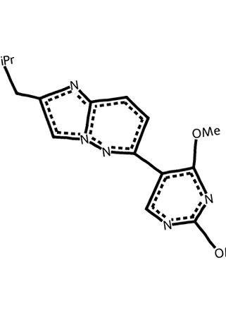 COc1ncc(-c2ccc3nc(CC(C)C)cn3n2)c(OC)n1